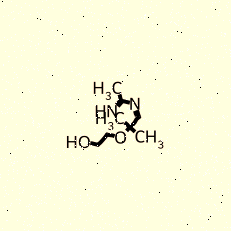 CC(=N)/N=C\C(C)(C)OCCO